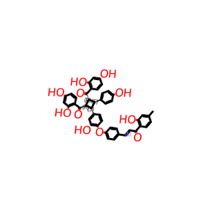 Cc1ccc(C(=O)/C=C/c2ccc(Oc3ccc([C@@H]4[C@@H](C(=O)c5ccc(O)cc5O)[C@H](C(=O)c5ccc(O)cc5O)[C@H]4c4ccc(O)cc4)cc3O)cc2)c(O)c1